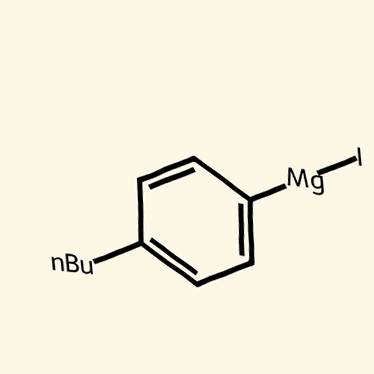 CCCCc1cc[c]([Mg][I])cc1